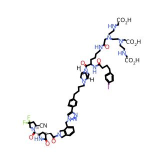 N#C[C@@H]1CC(F)(F)CN1C(=O)[C@@H]1C[C@@H](CC(=O)N2Cc3cccc(Cn4cc(-c5ccc(CCCCN6C[C@@H]7C[C@H]6CN7C(=O)C(CCCCNC(=O)CN(CCNCC(=O)O)CCN(CCNCC(=O)O)CC(=O)O)NC(=O)CCCc6ccc(I)cc6)cc5)nn4)c3C2)C(=O)N1